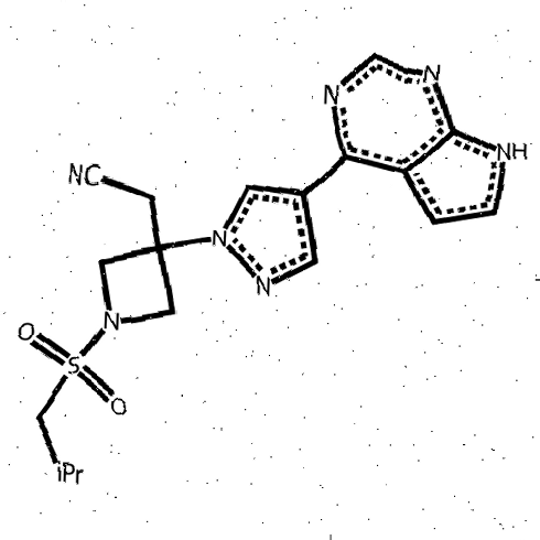 CC(C)CS(=O)(=O)N1CC(CC#N)(n2cc(-c3ncnc4[nH]ccc34)cn2)C1